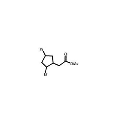 CCC1CC(CC)C(CC(=O)OC)C1